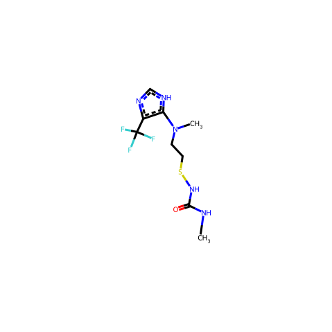 CNC(=O)NSCCN(C)c1[nH]cnc1C(F)(F)F